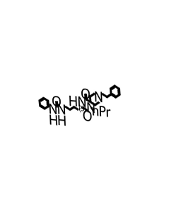 CCCN1C(=O)[C@H](CCCCNC(=O)Nc2ccccc2)NC(=O)C12CCN(CCc1ccccc1)CC2